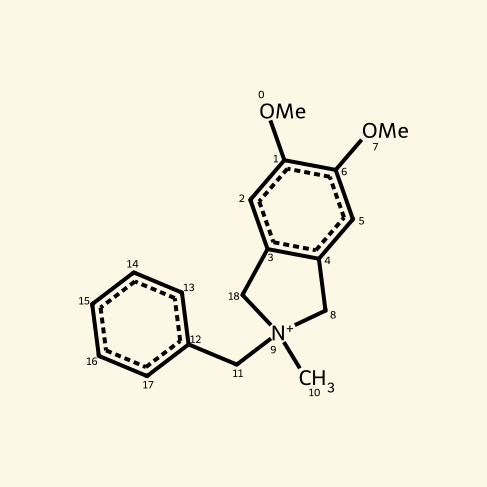 COc1cc2c(cc1OC)C[N+](C)(Cc1ccccc1)C2